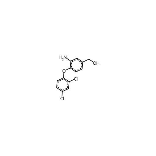 Nc1cc(CO)ccc1Oc1ccc(Cl)cc1Cl